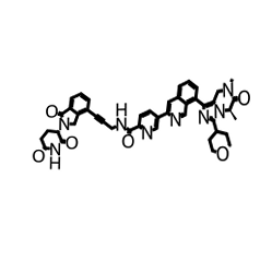 C[C@@H]1C(=O)N(C)Cc2c(-c3cccc4cc(-c5ccc(C(=O)NCC#Cc6cccc7c6CN(C6CCC(=O)NC6=O)C7=O)nc5)ncc34)nc(C3CCOCC3)n21